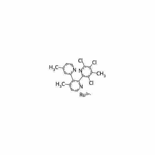 Cc1ccnc(-c2c(C)ccnc2-c2nc(Cl)c(Cl)c(C)c2Cl)c1.[Ru+3]